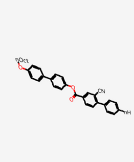 CCCCCCCCOc1ccc(-c2ccc(OC(=O)c3ccc(-c4ccc(CCCCCC)cc4)c(C#N)c3)cc2)cc1